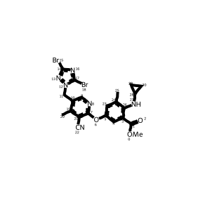 COC(=O)c1cc(Oc2ncc(Cn3nc(Br)nc3Br)c(C)c2C#N)cc(C)c1NC1CC1